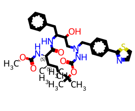 CC[C@H](C)[C@H](NC(=O)OC)C(=O)NC(Cc1ccccc1)C(O)CN(Cc1ccc(-c2nccs2)cc1)NC(=O)OC(C)(C)C